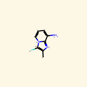 Cc1nc2c(N)cccn2c1F